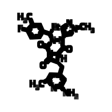 CC[C@H](c1ccc(F)c(C)c1)N1C(=O)N2C(=O)[C@H](Cc3cc(C)nc(N)c3)[C@H]2C(=O)N1c1cnn(C)c1